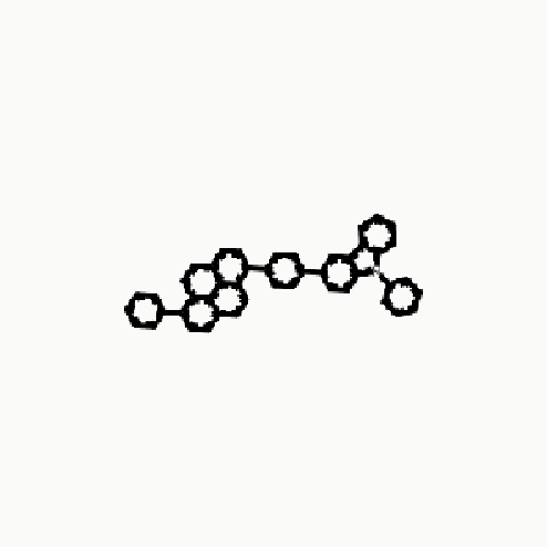 c1ccc(-c2ccc3ccc4c(-c5ccc(-c6ccc7c(c6)c6ccccc6n7-c6ccccc6)cc5)ccc5ccc2c3c54)cc1